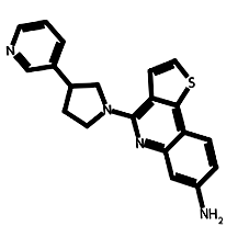 Nc1ccc2c(c1)nc(N1CCC(c3cccnc3)C1)c1ccsc12